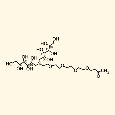 CC(=O)CCOCCOCCOCCOCCN(C[C@H](O)[C@@H](O)[C@H](O)[C@H](O)CO)C[C@H](O)[C@@H](O)[C@H](O)[C@H](O)CO